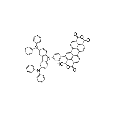 O=C1OC(=O)c2ccc3c4cc(-c5ccc(-n6c7ccc(N(c8ccccc8)c8ccccc8)cc7c7cc(N(c8ccccc8)c8ccccc8)ccc76)cc5)c5c6c(ccc(c7ccc1c2c73)c64)C(=O)OC5O